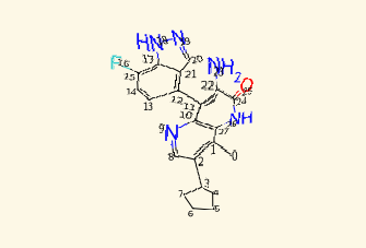 Cc1c(C2CCCC2)cnc2c(-c3ccc(F)c4[nH]ncc34)c(N)c(=O)[nH]c12